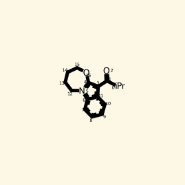 CC(C)C(=O)c1c2n(c3ccccc13)CCCCO2